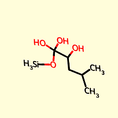 CC(C)CC(O)C(O)(O)O[SiH3]